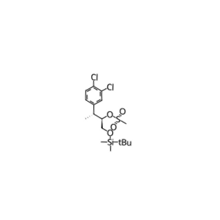 C[C@H](c1ccc(Cl)c(Cl)c1)[C@H](CO[Si](C)(C)C(C)(C)C)OS(C)(=O)=O